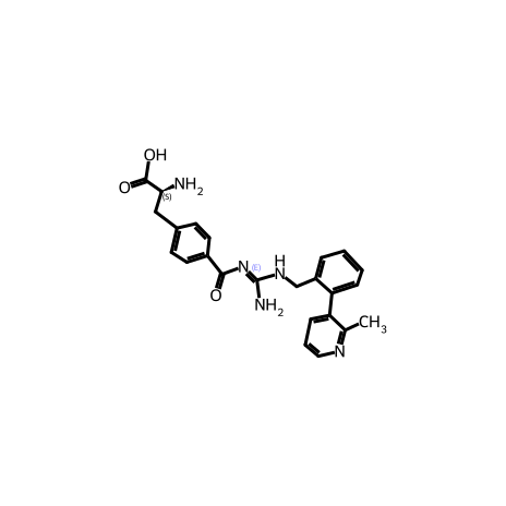 Cc1ncccc1-c1ccccc1CN/C(N)=N/C(=O)c1ccc(C[C@H](N)C(=O)O)cc1